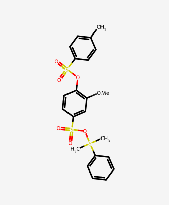 COc1cc(S(=O)(=O)OS(C)(C)c2ccccc2)ccc1OS(=O)(=O)c1ccc(C)cc1